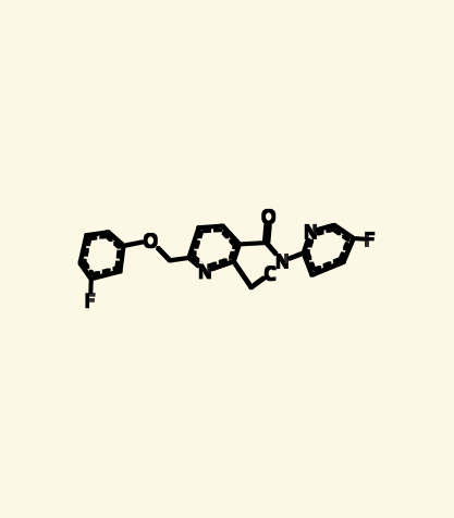 O=C1c2ccc(COc3cccc(F)c3)nc2CCN1c1ccc(F)cn1